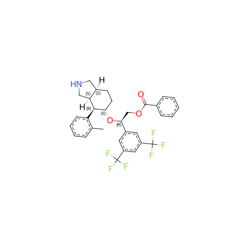 Cc1ccccc1[C@H]1[C@H]2CNC[C@H]2CC[C@@H]1O[C@@H](COC(=O)c1ccccc1)c1cc(C(F)(F)F)cc(C(F)(F)F)c1